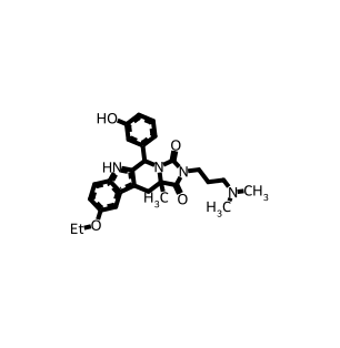 CCOc1ccc2[nH]c3c(c2c1)CC1(C)C(=O)N(CCCN(C)C)C(=O)N1C3c1cccc(O)c1